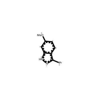 COc1ccc2c(C(C)C)n[nH]c2c1